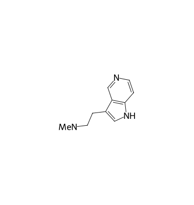 CNCCc1c[nH]c2ccncc12